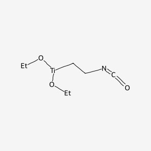 CC[O][Ti]([CH2]CN=C=O)[O]CC